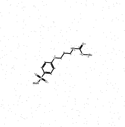 CNS(=O)(=O)c1ccc(OCCCNC(=O)OC(C)(C)C)cc1